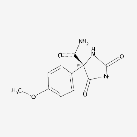 COc1ccc([C@]2(C(N)=O)NC(=O)[N]C2=O)cc1